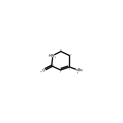 CCCCC1=CC(=O)NCC1